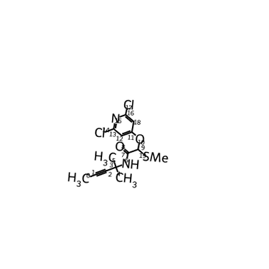 CC#CC(C)(C)NC(=O)C(Oc1cc(Cl)nc(Cl)c1)SC